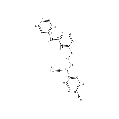 C#CC(CCCc1cccc(Oc2ccccc2)n1)c1ccc(F)cc1